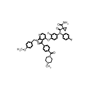 COc1ccc(Cn2nc(-c3ccc(C(=O)N4CCN(C)CC4)cc3)c3c(Oc4ccc(N(C(=O)C5(C(N)=O)CC5)c5ccc(F)cc5)cc4F)ccnc32)cc1